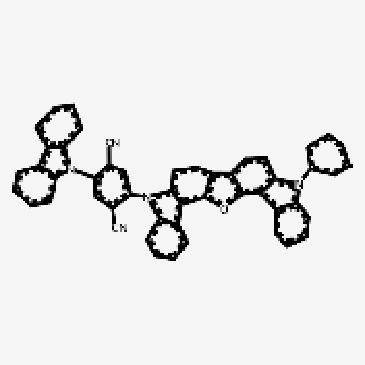 N#Cc1cc(-n2c3ccccc3c3c4oc5c(ccc6c5c5ccccc5n6-c5ccccc5)c4ccc32)c(C#N)cc1-n1c2ccccc2c2ccccc21